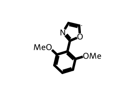 COc1cccc(OC)c1-c1nc[c]o1